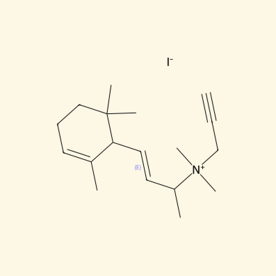 C#CC[N+](C)(C)C(C)/C=C/C1C(C)=CCCC1(C)C.[I-]